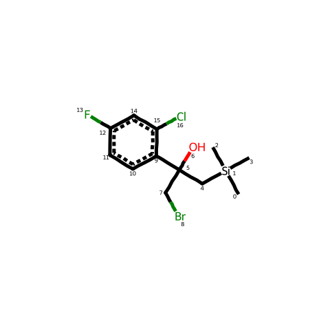 C[Si](C)(C)CC(O)(CBr)c1ccc(F)cc1Cl